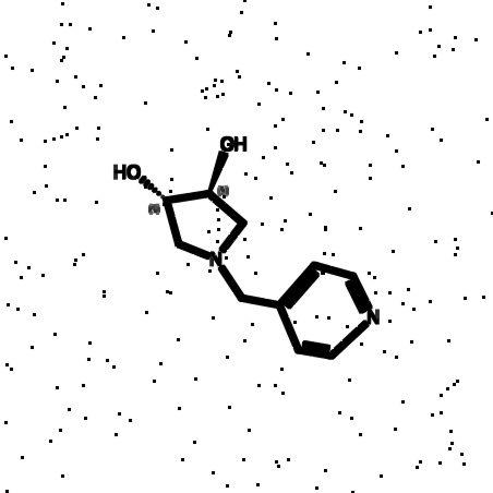 O[C@H]1CN(Cc2ccncc2)C[C@@H]1O